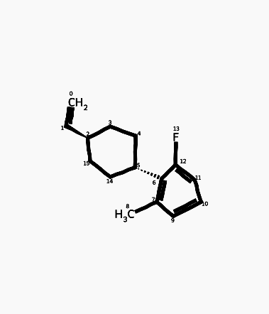 C=C[C@H]1CC[C@H](c2c(C)cccc2F)CC1